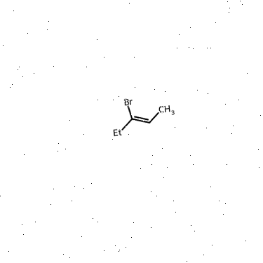 CC=C(Br)CC